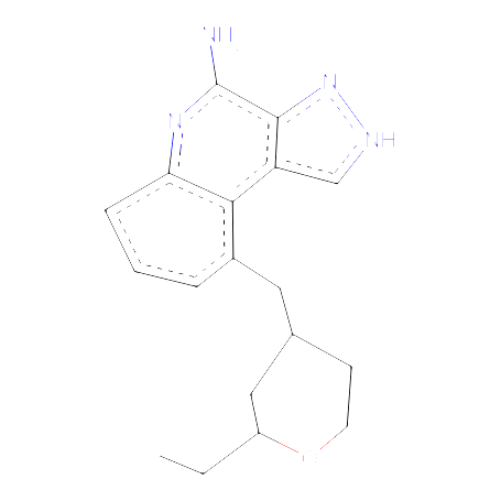 CCC1CC(Cc2cccc3nc(N)c4n[nH]cc4c23)CCO1